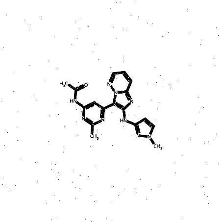 CC(=O)Nc1cc(-c2c(Nc3ccn(C)n3)nc3cccnn23)nc(C)n1